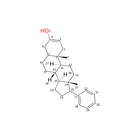 C[C@]12CC=C(O)CC1CC[C@@H]1[C@@H]2CC[C@]2(C)C(c3ccccc3)CC[C@@H]12